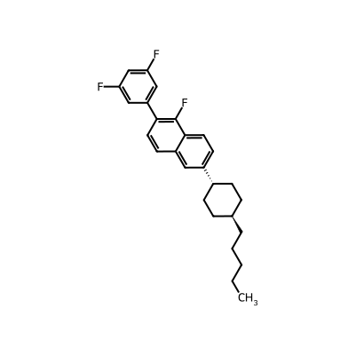 CCCCC[C@H]1CC[C@H](c2ccc3c(F)c(-c4cc(F)cc(F)c4)ccc3c2)CC1